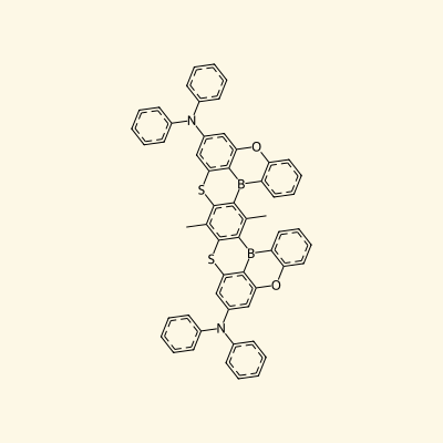 Cc1c2c(c(C)c3c1Sc1cc(N(c4ccccc4)c4ccccc4)cc4c1B3c1ccccc1O4)B1c3ccccc3Oc3cc(N(c4ccccc4)c4ccccc4)cc(c31)S2